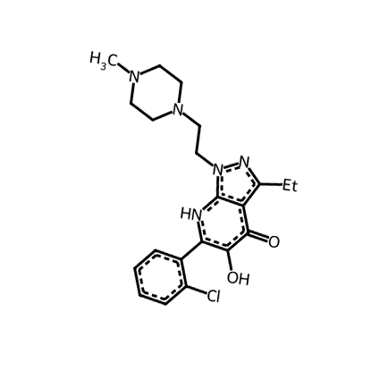 CCc1nn(CCN2CCN(C)CC2)c2[nH]c(-c3ccccc3Cl)c(O)c(=O)c12